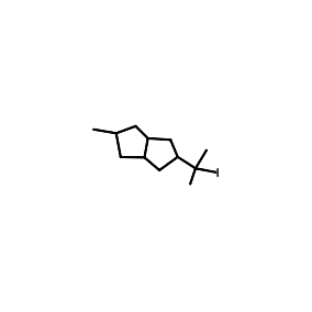 CC1CC2CC(C(C)(C)I)CC2C1